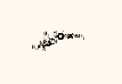 C=Cn1c(C(=O)N(C)C)cc2cnc(Nc3ccc(N4CC5(CN(C)C5)C4)c(F)c3)nc21